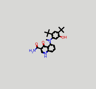 CN(c1cc(O)c(C(C)(C)C)cc1C(C)(C)C)c1cccc2[nH]cc(C(N)=O)c(=O)c12